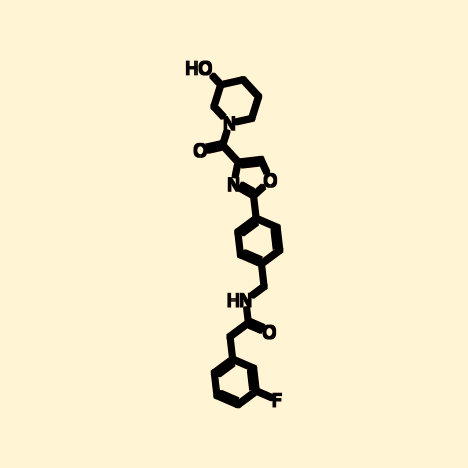 O=C(Cc1cccc(F)c1)NCc1ccc(-c2nc(C(=O)N3CCCC(O)C3)co2)cc1